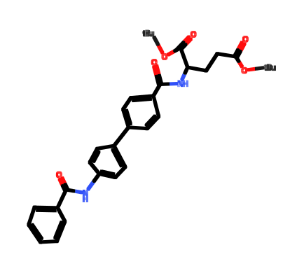 CC(C)(C)OC(=O)CCC(NC(=O)c1ccc(-c2ccc(NC(=O)c3ccccc3)cc2)cc1)C(=O)OC(C)(C)C